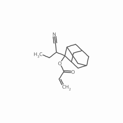 C=CC(=O)OC1(C(C#N)CC)C2CC3CC(C2)CC1C3